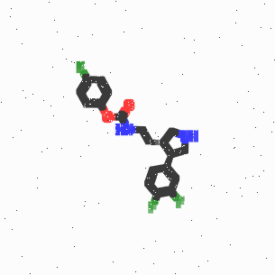 O=C(NCC[C@@H]1CNC[C@H]1c1ccc(F)c(F)c1)Oc1ccc(F)cc1